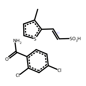 Cc1ccsc1/C=C/S(=O)(=O)O.NC(=O)c1ccc(Cl)cc1Cl